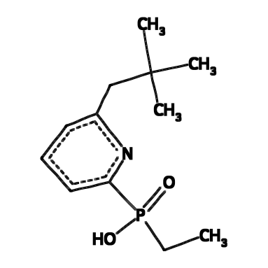 CCP(=O)(O)c1cccc(CC(C)(C)C)n1